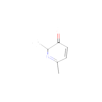 CC1=NC([N+](=O)[O-])C(=O)C=C1